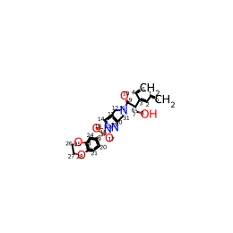 C=C/C=C(\C=C)[C@H](CO)C(=O)N1Cc2cn(S(=O)(=O)c3ccc4c(c3)OCCO4)nc2C1